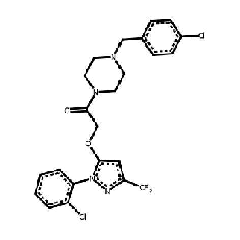 O=C(COc1cc(C(F)(F)F)nn1-c1ccccc1Cl)N1CCN(Cc2ccc(Cl)cc2)CC1